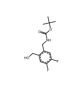 CC(C)(C)OC(=O)NCc1cc(F)c(F)cc1CO